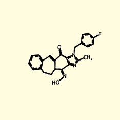 Cc1nc2c(n1Cc1ccc(F)cc1)C(=O)C1=Cc3ccccc3CCC1/C2=N\O